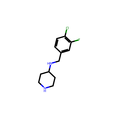 Fc1cc(CNC2CCNCC2)ccc1Cl